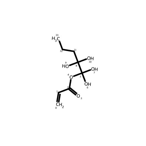 C=CC(=O)OC(O)(O)C(O)(O)CCC